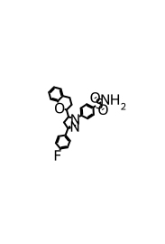 NS(=O)(=O)c1ccc(N2N=C(c3ccc(F)cc3)CC2C2CCc3ccccc3O2)cc1